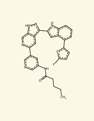 CCCCC(=O)Nc1cncc(-c2cc3c(-c4cc5c(-c6ccc(F)s6)cccc5[nH]4)n[nH]c3cn2)c1